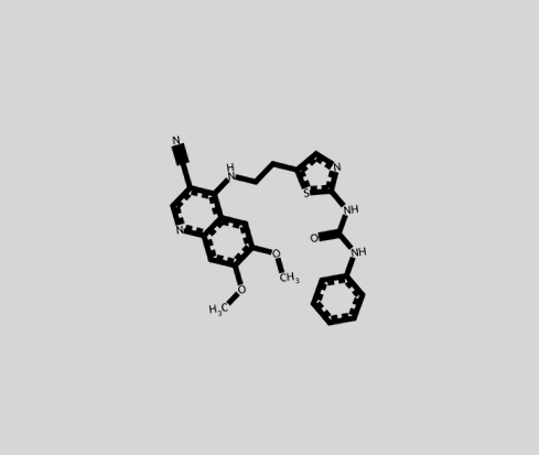 COc1cc2ncc(C#N)c(NCCc3cnc(NC(=O)Nc4ccccc4)s3)c2cc1OC